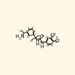 CC(N)c1cccc(C(C)(C)NC(=O)Nc2ccc(Cl)c(C(F)(F)F)c2)c1